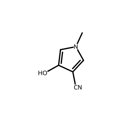 Cn1cc(O)c(C#N)c1